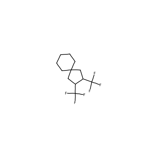 FC(F)(F)C1CC2(CCCCC2)CC1C(F)(F)F